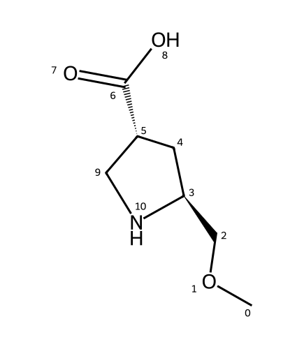 COC[C@@H]1C[C@@H](C(=O)O)CN1